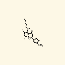 CCCCCNc1c(F)cc(F)c2oc(-c3ccc(N)c(F)c3)cc(=O)c12